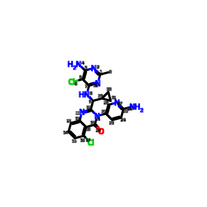 Cc1nc(N)c(Cl)c(N[C@H](c2nc3cccc(Cl)c3c(=O)n2-c2ccc(N)nc2)C2CC2)n1